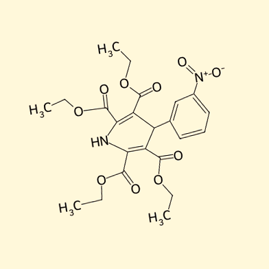 CCOC(=O)C1=C(C(=O)OCC)C(c2cccc([N+](=O)[O-])c2)C(C(=O)OCC)=C(C(=O)OCC)N1